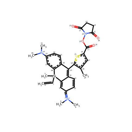 C=C[Si]1(C)C2=CC(=[N+](C)C)C=CC2=C(c2sc(C(=O)ON3C(=O)CCC3=O)cc2C)c2ccc(N(C)C)cc21